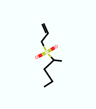 C=CCS(=O)(=O)C(C)CCC